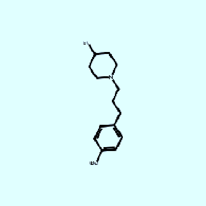 CCC1CCN(CCCc2ccc(C(C)(C)C)cc2)CC1